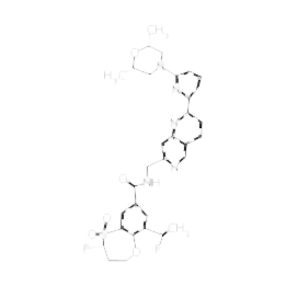 C=C(F)c1cc(C(=O)NCc2cc3nc(-c4cccc(N5C[C@@H](C)O[C@@H](C)C5)n4)ccc3cn2)cc2c1OCC[C@H](F)S2(=O)=O